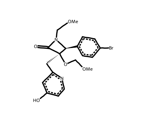 COCO[C@@]1(Cc2cc(O)ccn2)C(=O)N(COC)[C@H]1c1ccc(Br)cc1